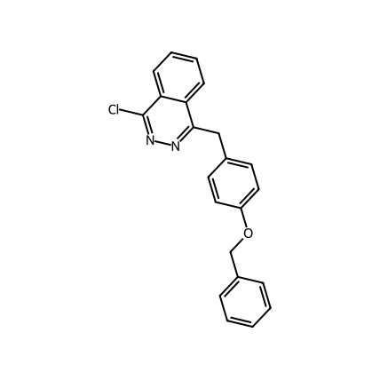 Clc1nnc(Cc2ccc(OCc3ccccc3)cc2)c2ccccc12